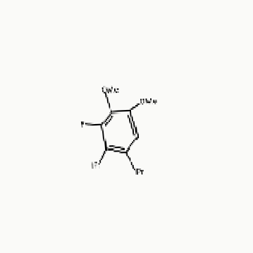 COc1cc(C(C)C)c(C(C)C)c(F)c1OC